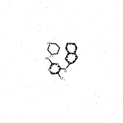 FC(F)(F)c1cnc(N[C@H]2CCCNC2)nc1Nc1ccc2ccccc2c1